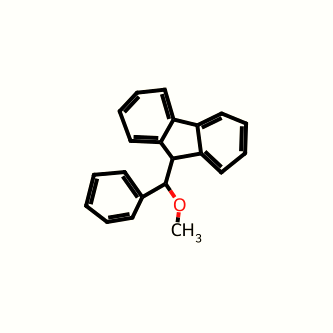 COC(c1ccccc1)C1c2ccccc2-c2ccccc21